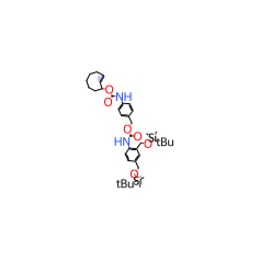 CC(C)(C)[Si](C)(C)OCc1ccc(NC(=O)OCc2ccc(NC(=O)OC3/C=C/CCCCC3)cc2)c(CO[Si](C)(C)C(C)(C)C)c1